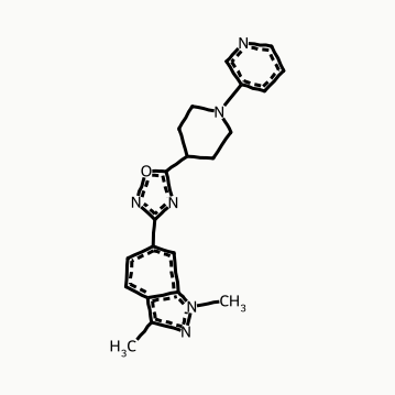 Cc1nn(C)c2cc(-c3noc(C4CCN(c5cccnc5)CC4)n3)ccc12